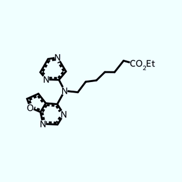 CCOC(=O)CCCCCCN(c1cnccn1)c1ncnc2occc12